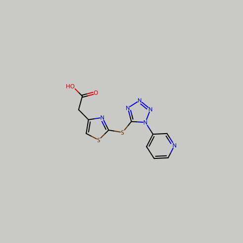 O=C(O)Cc1csc(Sc2nnnn2-c2cccnc2)n1